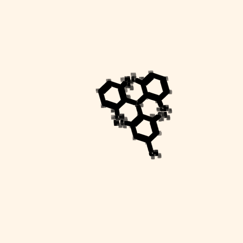 Cc1cc(C)c(B(c2c(C)cccc2C)c2c(C)cccc2C)c(C)c1